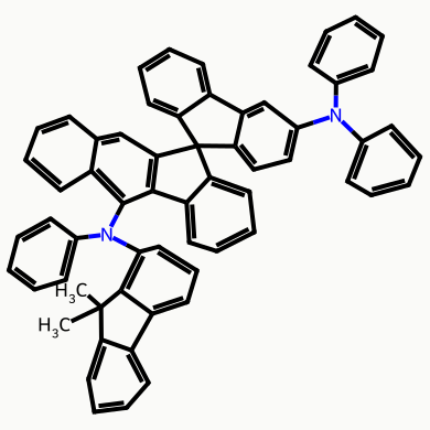 CC1(C)c2ccccc2-c2cccc(N(c3ccccc3)c3c4c(cc5ccccc35)C3(c5ccccc5-c5cc(N(c6ccccc6)c6ccccc6)ccc53)c3ccccc3-4)c21